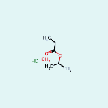 CCC(=O)OC(C)C.Cl.O